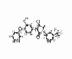 CCc1cc(N2C(=O)CN(c3cncc(C(F)(F)F)c3)C2=O)ccc1Oc1cccnc1